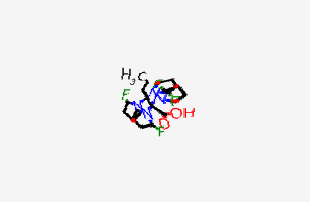 CCCC(N1CCCC1F)(N1CCCC1F)C(C(=O)O)(N1CCCC1F)N1CCCC1F